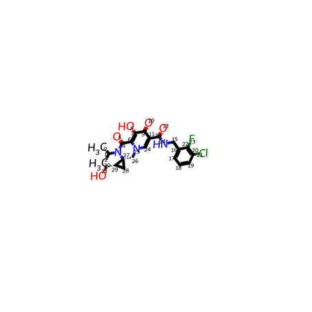 CC(C)N1C(=O)c2c(O)c(=O)c(C(=O)NCc3cccc(Cl)c3F)cn2C[C@@]12C[C@@H]2CO